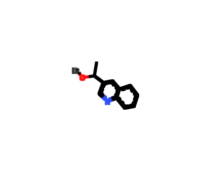 CCOC(C)c1cnc2ccccc2c1